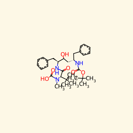 CN(C(=O)O)[C@H](C(=O)N[C@@H](Cc1ccccc1)[C@@H](O)C[C@H](Cc1ccccc1)NC(=O)OC(C)(C)C)C(C)(C)C